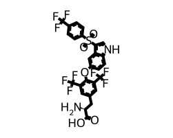 N[C@H](Cc1cc(C(F)(F)F)c(Oc2ccc3[nH]cc(S(=O)(=O)c4ccc(C(F)(F)F)cc4)c3c2)c(C(F)(F)F)c1)C(=O)O